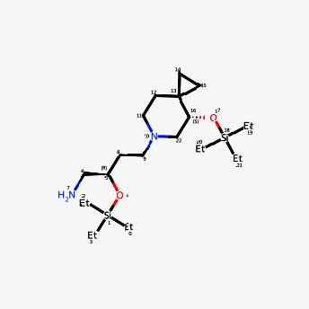 CC[Si](CC)(CC)O[C@@H](CN)CCN1CCC2(CC2)[C@H](O[Si](CC)(CC)CC)C1